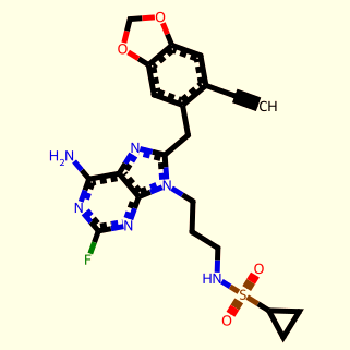 C#Cc1cc2c(cc1Cc1nc3c(N)nc(F)nc3n1CCCNS(=O)(=O)C1CC1)OCO2